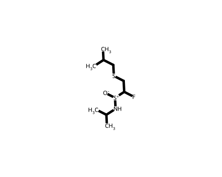 CC(C)CSCC(F)[S+]([O-])NC(C)C